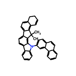 CC1(C)c2c(ccc3c2C=CCC3)-c2ccc3c4ccccc4n(-c4ccc5ccc6ccccc6c5c4)c3c21